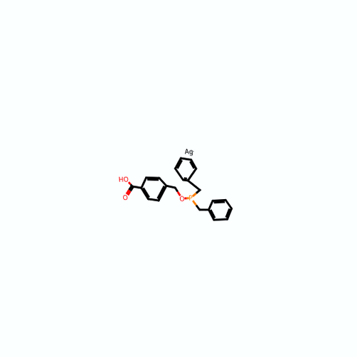 O=C(O)c1ccc(COP(Cc2ccccc2)Cc2ccccc2)cc1.[Ag]